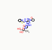 C[C@H]1C(n2ccc(Nc3nc(NCc4nc5ccccc5s4)c4ncn([C@@H]5CCCCC5=O)c4n3)nc2=O)O[C@H](CO)[C@H]1O